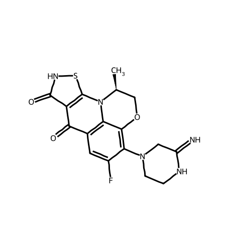 C[C@H]1COc2c(N3CCNC(=N)C3)c(F)cc3c(=O)c4c(=O)[nH]sc4n1c23